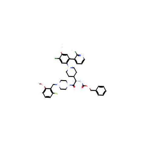 CCOc1cc(-c2cccnc2Cl)c(N2CCC([C@@H](NC(=O)OCc3ccccc3)C(=O)N3CCN(Cc4c(F)cccc4OCC)CC3)CC2)cc1Cl